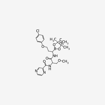 COCC(NC(=O)c1cnccn1)C(=O)NC(CCOc1ccc(Cl)cc1)B1OC(C)(C)C(C)(C)O1